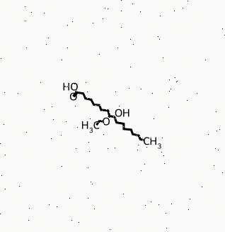 CCCCCCCCC(O)C(CCCCCCCC(=O)O)OCC